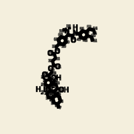 BC12CCC3=CC(=C)C=CC3(C)[C@@]1(F)C(O)CC1(C)[C@@]2(B)C[C@@H](C)[C@]1(O)C(=O)COC(=O)CCC(=O)OCc1ccc(C(C(=O)Nc2ccc(C=C)c(/C=C\C)c2)N(C)C)cc1